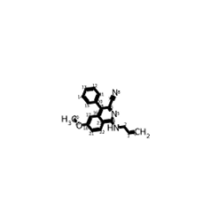 C=CCNc1nc(C#N)c(-c2ccccc2)c2cc(OC)ccc12